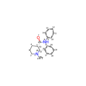 CC(C)N1CCC[C@H](C(=O)Nc2ccccc2)[C@@H]1c1ccccc1